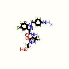 CC(C)(C)C(NC(=O)c1nn(Cc2ccc(N)cc2)c2ccc(F)cc12)C(=O)NCCO